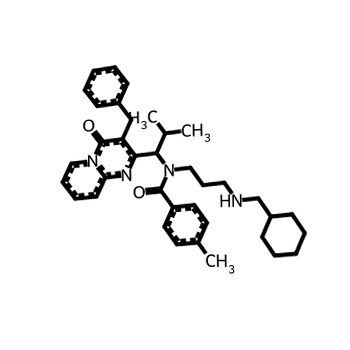 Cc1ccc(C(=O)N(CCCNCC2CCCCC2)C(c2nc3ccccn3c(=O)c2Cc2ccccc2)C(C)C)cc1